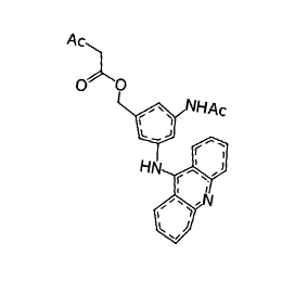 CC(=O)CC(=O)OCc1cc(NC(C)=O)cc(Nc2c3ccccc3nc3ccccc23)c1